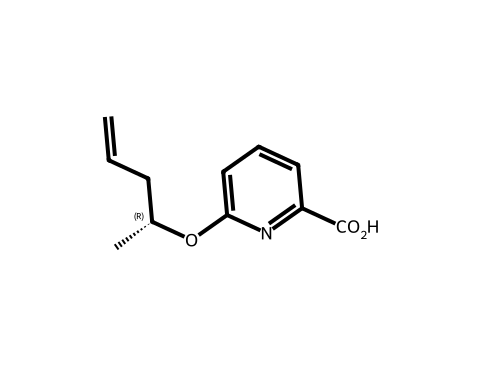 C=CC[C@@H](C)Oc1cccc(C(=O)O)n1